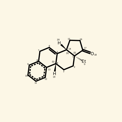 CC[C@]12CC[C@H]3C(=CCc4c[c]ccc43)[C@@H]1CCC2=O